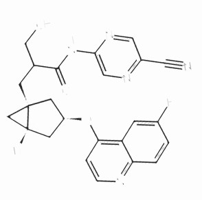 CCC(C[C@@]12C[C@@H](Oc3ccnc4ccc(F)cc34)C[C@@H]1C2)C(=O)Nc1cnc(C#N)cn1